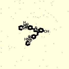 CN1C(c2ccc(S(=O)(=O)Nc3ccccn3)cc2)C=c2/c(=C\c3ccc(S(=O)(=O)Nc4ccccn4)cc3)c3cc(O)ccc3n21